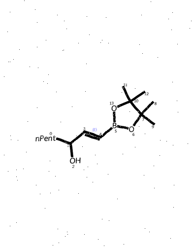 CCCCCC(O)/C=C/B1OC(C)(C)C(C)(C)O1